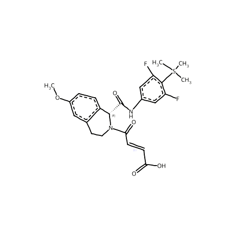 COc1ccc2c(c1)CCN(C(=O)/C=C/C(=O)O)[C@H]2C(=O)Nc1cc(F)c(S(C)(C)C)c(F)c1